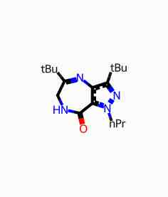 CCCn1nc(C(C)(C)C)c2c1C(=O)NCC(C(C)(C)C)=N2